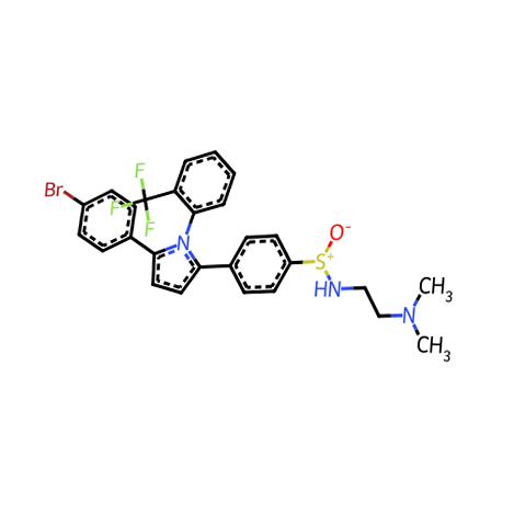 CN(C)CCN[S+]([O-])c1ccc(-c2ccc(-c3ccc(Br)cc3)n2-c2ccccc2C(F)(F)F)cc1